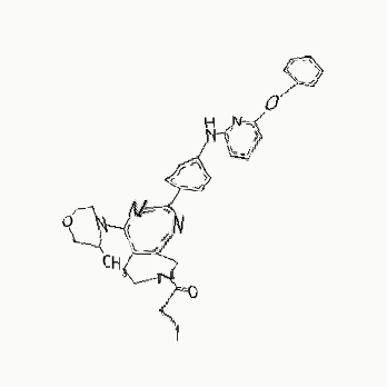 CC1COCCN1c1nc(-c2ccc(Nc3cccc(OCc4ccccc4)n3)cc2)nc2c1CCN(C(=O)CI)C2